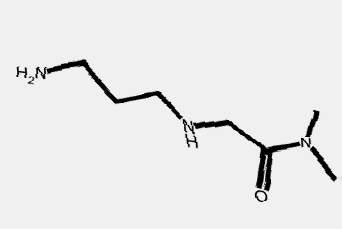 CN(C)C(=O)CNCCCN